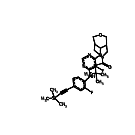 CC(C)(C)OC(=O)N1CC2COCC(C1)C2Oc1ncnc(Nc2ccc(C#C[Si](C)(C)C)cc2F)c1F